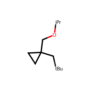 CC(C)OCC1(CC(C)(C)C)CC1